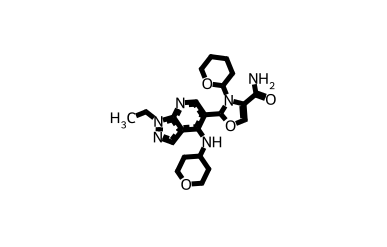 CCn1ncc2c(NC3CCOCC3)c(C3OC=C(C(N)=O)N3C3CCCCO3)cnc21